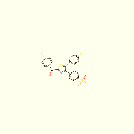 CS(=O)(=O)c1ccc(-c2nc(C(=O)c3ccc(F)cc3)sc2-c2ccc(F)cc2)cc1